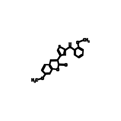 COc1ccc2cc(-c3csc(Nc4ccccc4OC)n3)c(=O)oc2c1